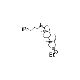 CCO[C@H]1CC[C@@]2(C)C(=CCC3C4CCC([C@H](C)CCCC(C)C)[C@@]4(C)CCC32)C1